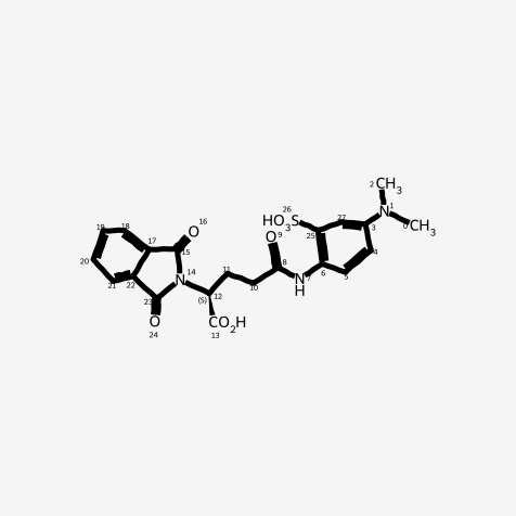 CN(C)c1ccc(NC(=O)CC[C@@H](C(=O)O)N2C(=O)c3ccccc3C2=O)c(S(=O)(=O)O)c1